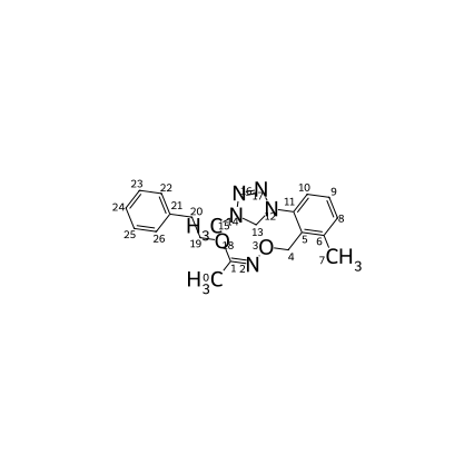 CC(=NOCc1c(C)cccc1N1CN(C)N=N1)OCCc1ccccc1